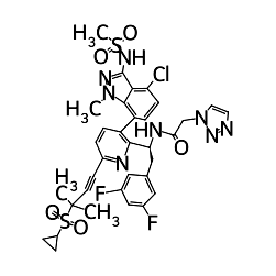 Cn1nc(NS(C)(=O)=O)c2c(Cl)ccc(-c3ccc(C#CC(C)(C)S(=O)(=O)C4CC4)nc3[C@H](Cc3cc(F)cc(F)c3)NC(=O)Cn3ccnn3)c21